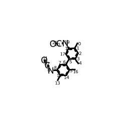 Cc1cc(C)c(-c2cc(N=C=O)c(C)cc2C)cc1N=C=O